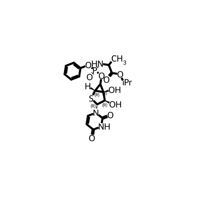 CC(C)OC(=O)C(C)NP(=O)(Oc1ccccc1)OC1[C@H]2S[C@@H](n3ccc(=O)[nH]c3=O)[C@H](O)[C@@]12O